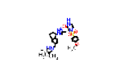 COc1ccc(S(=O)(=O)N2C=CNC(=O)[C@H]2Cc2cn([C@H]3CCCc4cc(CNCC(C)(C)C)ccc43)nn2)cc1